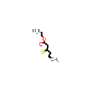 C=CCOC(=O)CC(=S)CC=C